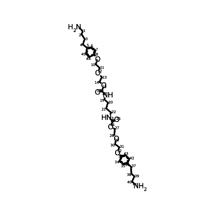 NCCCCc1ccc(OCCOCCOC(=O)NCCCCNC(=O)OCCOCCOc2ccc(CCCCN)cc2)cc1